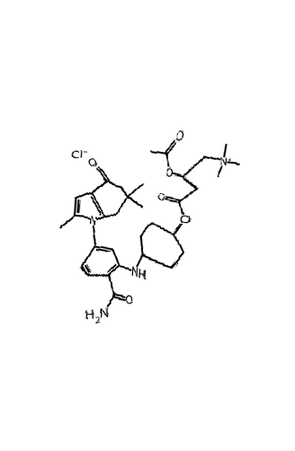 CC(=O)OC(CC(=O)OC1CCC(Nc2cc(-n3c(C)cc4c3CC(C)(C)CC4=O)ccc2C(N)=O)CC1)C[N+](C)(C)C.[Cl-]